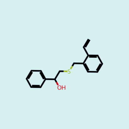 C=Cc1ccccc1CSCC(O)c1ccccc1